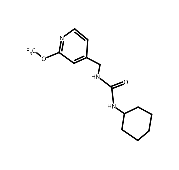 O=C(NCc1ccnc(OC(F)(F)F)c1)NC1CCCCC1